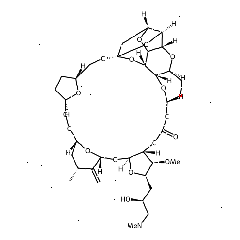 C=C1[C@H](C)C[C@@H]2CC[C@H]3CC[C@H](CC[C@@]45C[C@H]6OC7[C@@H](O[C@H]8CC[C@H](CC(=O)C[C@@H]9[C@@H](OC)[C@@H](C[C@H](O)CNC)O[C@H]9C[C@H]1O2)O[C@@H]8[C@@H]7O4)[C@H]6O5)O3